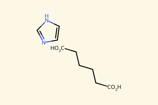 O=C(O)CCCCC(=O)O.c1c[nH]cn1